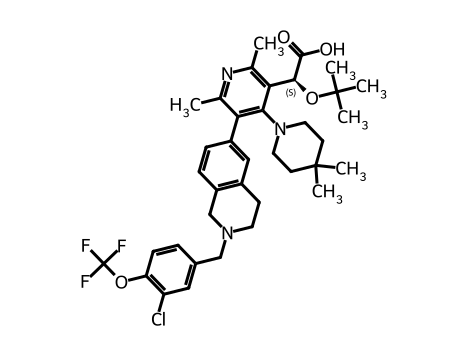 Cc1nc(C)c([C@H](OC(C)(C)C)C(=O)O)c(N2CCC(C)(C)CC2)c1-c1ccc2c(c1)CCN(Cc1ccc(OC(F)(F)F)c(Cl)c1)C2